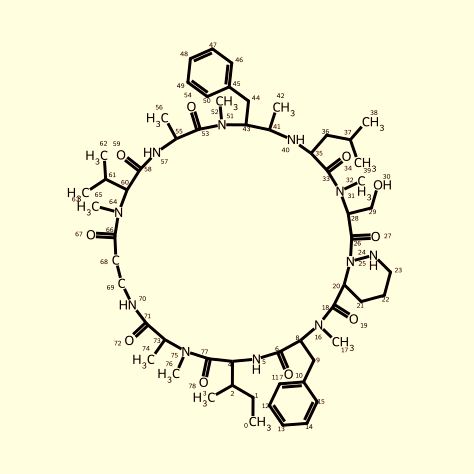 CCC(C)C1NC(=O)C(Cc2ccccc2)N(C)C(=O)C2CCCNN2C(=O)C(CO)N(C)C(=O)C(CC(C)C)NC(C)C(Cc2ccccc2)N(C)C(=O)C(C)NC(=O)C(C(C)C)N(C)C(=O)CCNC(=O)C(C)N(C)C1=O